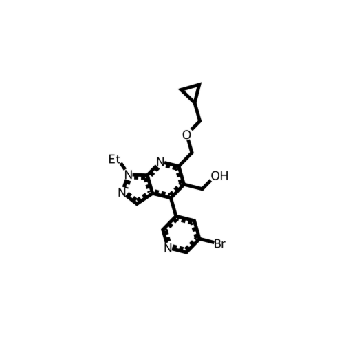 CCn1ncc2c(-c3cncc(Br)c3)c(CO)c(COCC3CC3)nc21